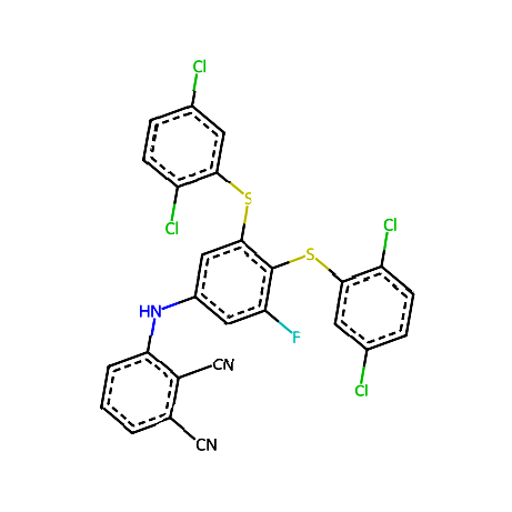 N#Cc1cccc(Nc2cc(F)c(Sc3cc(Cl)ccc3Cl)c(Sc3cc(Cl)ccc3Cl)c2)c1C#N